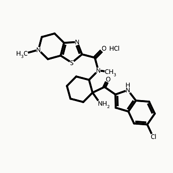 CN1CCc2nc(C(=O)N(C)C3CCCCC3(N)C(=O)c3cc4cc(Cl)ccc4[nH]3)sc2C1.Cl